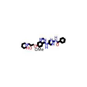 COc1cc2c(Nc3cnc(NC(=O)c4ccccc4)nc3)ncnc2cc1OC[C@H](O)CN1CCCCC1